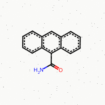 NC(=O)c1c2cc[c]cc2cc2ccccc12